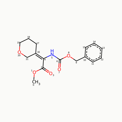 COC(=O)C(NC(=O)OCc1ccccc1)=C1CCCOC1